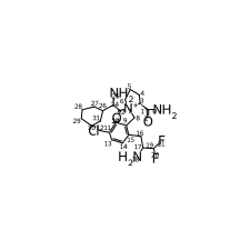 NC(=O)[C@@H]1CCC[N+]1(Cc1cc(Cl)ccc1CC(N)C(F)F)C(=O)[C@H](N)C1CCCCC1